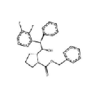 O=C(OCc1ccccc1)N1CCC[C@@H]1[C@H](O)[C@H](c1ccccc1)c1cccc(F)c1F